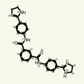 O=C(Nc1ccc(C2=NCCN2)cc1)c1cccc(C(=O)Nc2ccc(C3=NCCN3)cc2)c1